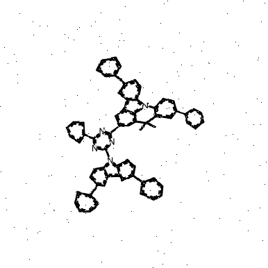 CC1(C)c2cc(-c3ccccc3)ccc2-n2c3ccc(-c4ccccc4)cc3c3cc(-c4nc(-c5ccccc5)nc(-n5c6ccc(-c7ccccc7)cc6c6cc(-c7ccccc7)ccc65)n4)cc1c32